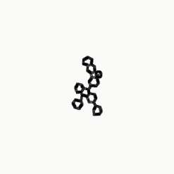 C1=CC(c2ccccc2)Cc2c1c(-c1ccc3oc4cc5ccccc5cc4c3c1)c1ccccc1c2-c1ccccc1